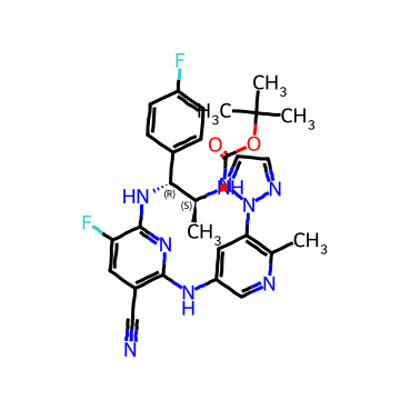 Cc1ncc(Nc2nc(N[C@H](c3ccc(F)cc3)[C@H](C)NC(=O)OC(C)(C)C)c(F)cc2C#N)cc1-n1nccn1